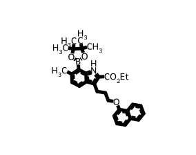 CCOC(=O)c1[nH]c2c(B3OC(C)(C)C(C)(C)O3)c(C)ccc2c1CCCOc1cccc2ccccc12